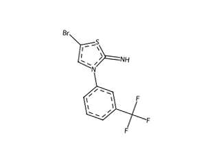 N=c1sc(Br)cn1-c1cccc(C(F)(F)F)c1